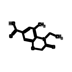 CCN1C(=O)COc2cc(C(=O)O)cc(C)c21